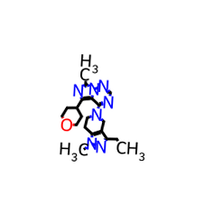 CCc1nn(C)c2c1CN(c1ncnn3c(C)nc(C4CCOCC4)c13)CC2